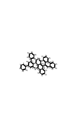 c1ccc(-c2cc(Sc3c4ccccc4c(-c4cc5ccccc5c5ccccc45)c4cnccc34)cc(-c3ccccc3)c2)cc1